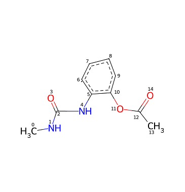 CNC(=O)Nc1[c]cccc1OC(C)=O